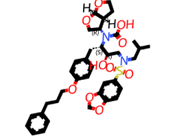 CC(C)CN(C[C@@H](O)[C@H](Cc1ccc(OCCCc2ccccc2)cc1)N(C(=O)O)[C@H]1CO[C@H]2OCC[C@H]21)S(=O)(=O)c1ccc2c(c1)OCO2